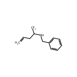 C=CCC(NCc1ccccc1)C(F)(F)F